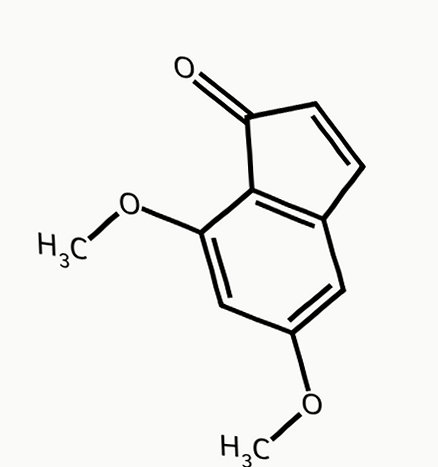 COc1cc2c(c(OC)c1)C(=O)C=C2